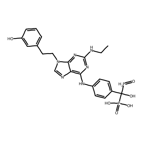 CCNc1nc(Nc2ccc(C(O)([PH2]=O)P(=O)(O)O)cc2)c2ncn(CCc3cccc(O)c3)c2n1